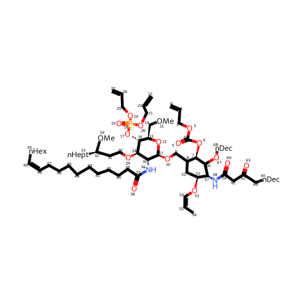 C=CCOC(=O)O[C@@H]1C(CO[C@@H]2O[C@H](COC)[C@@H](OP(=O)(OCC=C)OCC=C)[C@H](OCC[C@@H](CCCCCCC)OC)[C@H]2NC(=O)CCCCCCCCC/C=C\CCCCCC)C[C@H](O/C=C\C)[C@H](NC(=O)CC(=O)CCCCCCCCCCC)C1OCCCCCCCCCC